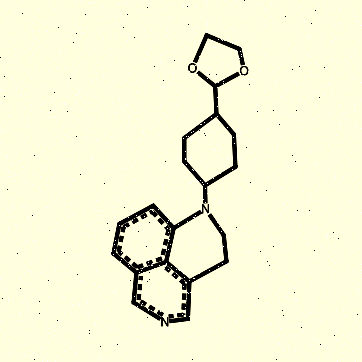 c1cc2c3c(cncc3c1)CCN2C1CCC(C2OCCO2)CC1